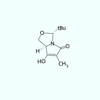 CC1=C(O)[C@H]2CO[C@H](C(C)(C)C)N2C1=O